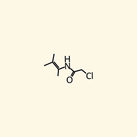 CC(C)=C(C)NC(=O)CCl